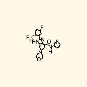 O=C(Nc1cccnc1)c1cc(N2CCOCC2)cc2[nH]c(-c3cc(F)ccc3C(F)(F)F)nc12